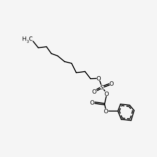 CCCCCCCCCCOS(=O)(=O)OC(=O)Oc1ccccc1